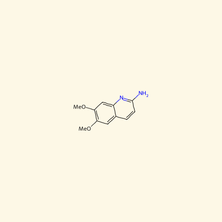 COc1cc2ccc(N)nc2cc1OC